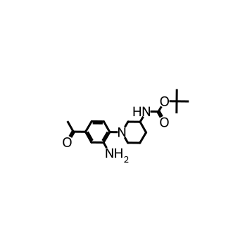 CC(=O)c1ccc(N2CCCC(NC(=O)OC(C)(C)C)C2)c(N)c1